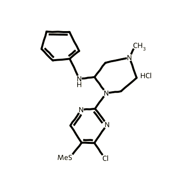 CSc1cnc(N2CCN(C)CC2Nc2ccccc2)nc1Cl.Cl